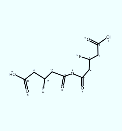 O=C(O)CC(F)CC(=O)OC(=O)CC(F)CC(=O)O